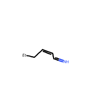 CCC/C=C\C=N